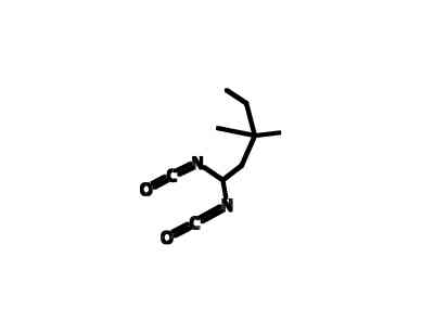 CCC(C)(C)CC(N=C=O)N=C=O